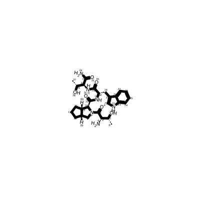 C[C@@H](O)[C@H](N)C(=O)N1C[C@@H]2CCC[C@@H]2[C@H]1C(=O)N[C@@H](Cc1c[nH]c2ccccc12)C(=O)N[C@H](C(N)=O)[C@@H](C)O